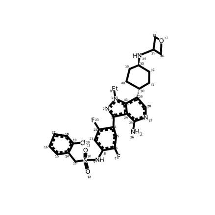 CCn1nc(-c2cc(F)c(NS(=O)(=O)Cc3ccccc3Cl)cc2F)c2c(N)ncc([C@H]3CC[C@H](NC4COC4)CC3)c21